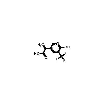 C=C(C(=O)O)c1cnc(O)c(C(F)(F)F)c1